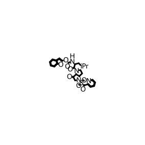 CC(C)CC(NC(=O)Oc1cc2ccccc2o1)C(=O)N1CCC2C1C(=O)CN2S(=O)(=O)C(=O)c1ccccn1